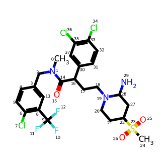 CN(Cc1ccc(Cl)c(C(F)(F)F)c1)C(=O)C(CCN1CCC(S(C)(=O)=O)CC1N)c1ccc(Cl)c(Cl)c1